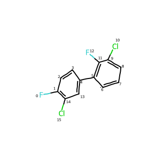 Fc1ccc(-c2[c]ccc(Cl)c2F)cc1Cl